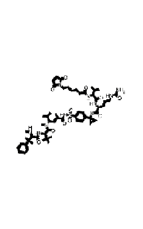 CNC(C(=O)NC(C(=O)N(C)C(/C=C(\C)C(=O)NS(=O)(=O)c1ccc(C2(NC(=O)C(CCCNC(N)=O)NC(=O)C(NC(=O)CCCCCN3C(=O)C=CC3=O)C(C)C)CC2)cc1)C(C)C)C(C)(C)C)C(C)(C)c1ccccc1